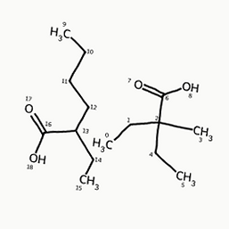 CCC(C)(CC)C(=O)O.CCCCC(CC)C(=O)O